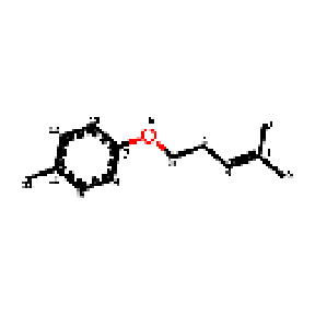 CC(C)=CCCOc1ccc(C)cc1